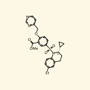 CCc1ccc2c(c1)CC[C@@H](C1CC1)N2S(=O)(=O)c1ccc(OCc2ccncn2)c(C(=O)OC)c1